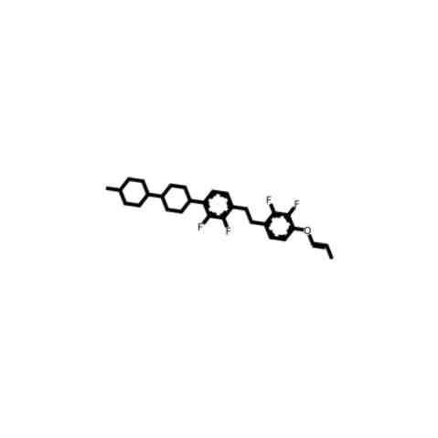 C/C=C/Oc1ccc(CCc2ccc(C3CCC(C4CCC(C)CC4)CC3)c(F)c2F)c(F)c1F